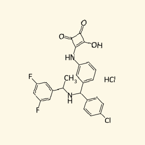 CC(NC(c1ccc(Cl)cc1)c1cccc(Nc2c(O)c(=O)c2=O)c1)c1cc(F)cc(F)c1.Cl